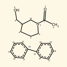 CC(=O)N1CCCC(CO)C1.c1ccc(-c2ccccc2)cc1